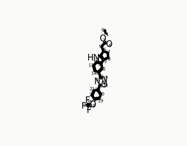 CCOC(=O)CC1CCc2c1[nH]c1ccc(-c3noc(-c4ccc(OC(F)(F)F)cc4)n3)cc21